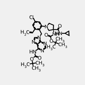 C=Cc1cc(Cl)cc(N2CC[C@](NC(=O)OC(C)(C)C)(C(=O)NC3CC3)C2)c1Cn1cnc2c(NC(=O)OC(C)(C)C)ncnc21